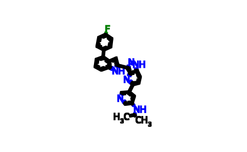 CC(C)Nc1cncc(-c2ccc3[nH]nc(-c4cc5c(-c6ccc(F)cc6)cccc5[nH]4)c3n2)c1